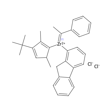 CC1=[C](/[Zr+2](=[C](\C)c2ccccc2)[c]2cccc3c2Cc2ccccc2-3)C(C)C=C1C(C)(C)C.[Cl-].[Cl-]